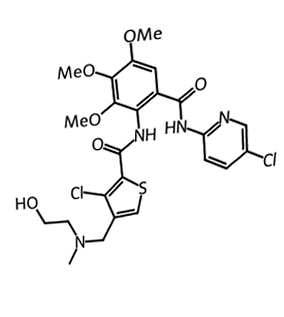 COc1cc(C(=O)Nc2ccc(Cl)cn2)c(NC(=O)c2scc(CN(C)CCO)c2Cl)c(OC)c1OC